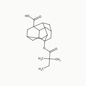 CCC(C)(C)C(=O)OC12CC3CC4C1CC1CC2C(C3)C4(C(=O)O)C1